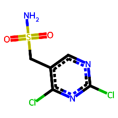 NS(=O)(=O)Cc1cnc(Cl)nc1Cl